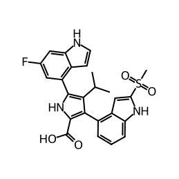 CC(C)c1c(-c2cc(F)cc3[nH]ccc23)[nH]c(C(=O)O)c1-c1cccc2[nH]c(S(C)(=O)=O)cc12